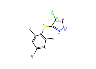 Cc1cc(Br)cc(C)c1Sc1n[nH]cc1Cl